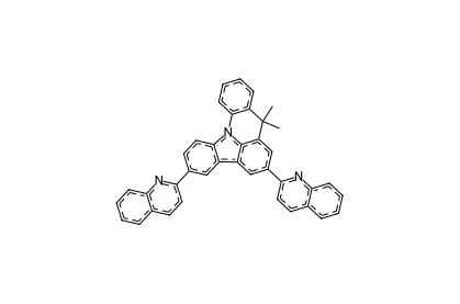 CC1(C)c2ccccc2-n2c3ccc(-c4ccc5ccccc5n4)cc3c3cc(-c4ccc5ccccc5n4)cc1c32